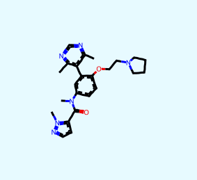 Cc1ncnc(C)c1-c1cc(N(C)C(=O)c2ccnn2C)ccc1OCCN1CCCC1